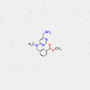 COC(=O)c1cccc(CN(C)c2cc(CN)ncn2)c1